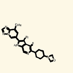 COc1cc(-c2[nH]c3cnc(C4CCC(N5COC5)CC4)c(F)c3c2C(C)C)cn2ncnc12